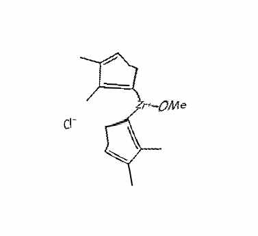 C[O][Zr+]([C]1=C(C)C(C)=CC1)[C]1=C(C)C(C)=CC1.[Cl-]